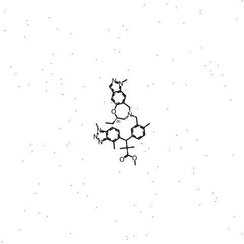 CC[C@@H]1CN(Cc2cc(C(c3ccc4c(nnn4C)c3C)C(C)(C)C(=O)OC)ccc2C)Cc2cc3c(cnn3C)cc2O1